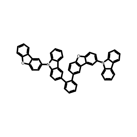 c1ccc(-c2ccc3c(c2)c2ccccc2n3-c2ccc3oc4ccccc4c3c2)c(-c2ccc3oc4ccc(-n5c6ccccc6c6ccccc65)cc4c3c2)c1